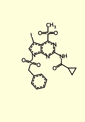 CS(=O)(=O)c1nc(NC(=O)C2CC2)nc2c1c(I)cn2S(=O)(=O)Cc1ccccc1